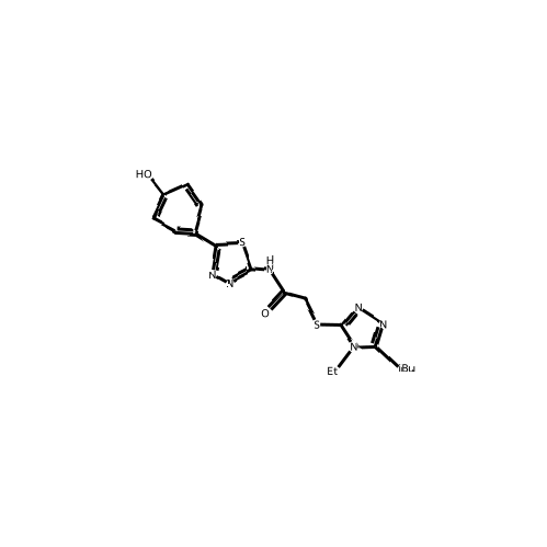 CCC(C)c1nnc(SCC(=O)Nc2nnc(-c3ccc(O)cc3)s2)n1CC